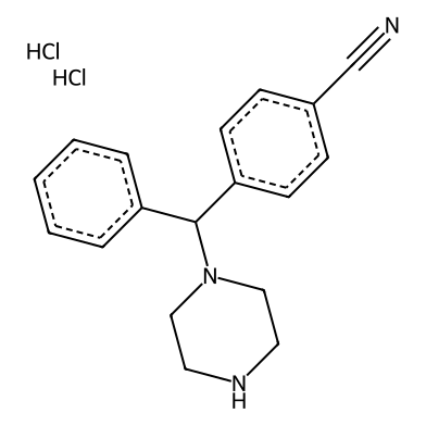 Cl.Cl.N#Cc1ccc(C(c2ccccc2)N2CCNCC2)cc1